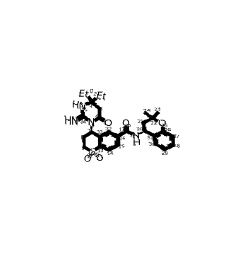 CCC1(CC)CC(=O)N([C@@H]2CCS(=O)(=O)c3ccc(C(=O)N[C@H]4CC(C)(C)Oc5ccccc54)cc32)C(=N)N1